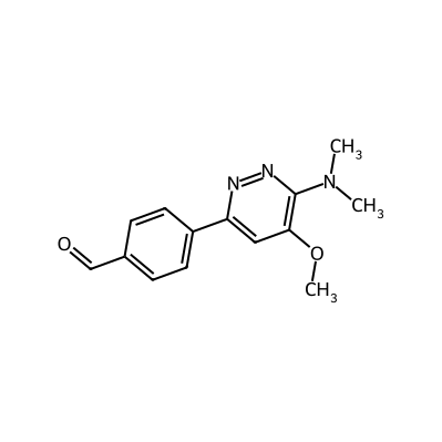 COc1cc(-c2ccc(C=O)cc2)nnc1N(C)C